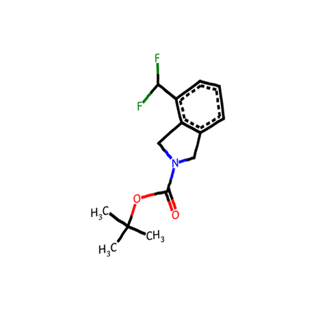 CC(C)(C)OC(=O)N1Cc2cccc(C(F)F)c2C1